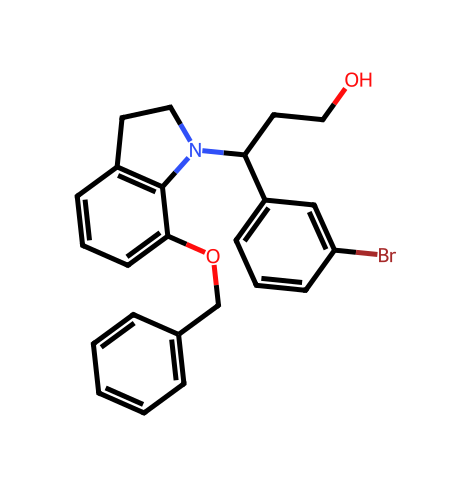 OCCC(c1cccc(Br)c1)N1CCc2cccc(OCc3ccccc3)c21